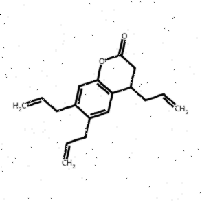 C=CCc1cc2c(cc1CC=C)C(CC=C)CC(=O)O2